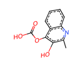 Cc1nc2ccccc2c(OC(=O)O)c1O